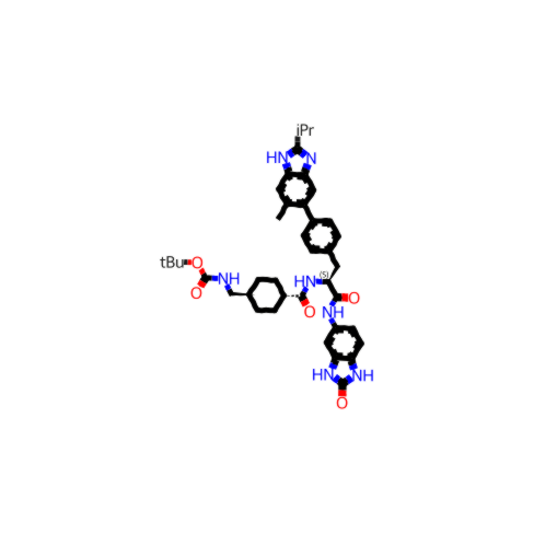 Cc1cc2[nH]c(C(C)C)nc2cc1-c1ccc(C[C@H](NC(=O)[C@H]2CC[C@H](CNC(=O)OC(C)(C)C)CC2)C(=O)Nc2ccc3[nH]c(=O)[nH]c3c2)cc1